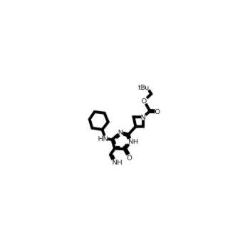 CC(C)(C)COC(=O)N1CC(c2nc(NC3CCCCC3)c(C=N)c(=O)[nH]2)C1